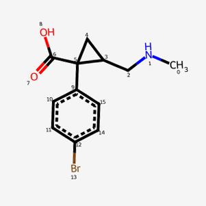 CNCC1CC1(C(=O)O)c1ccc(Br)cc1